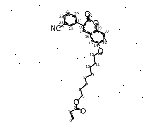 C=CC(=O)OCCCCCCCCOc1cc2cc(-c3cccc(C#N)c3)c(=O)oc2cn1